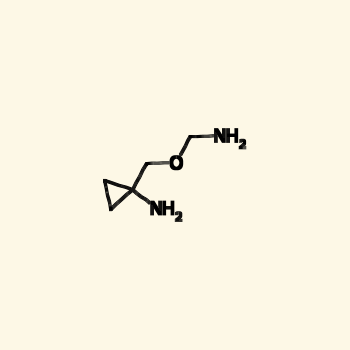 NCOCC1(N)CC1